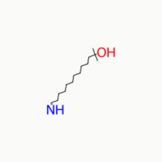 CC(C)(O)CCCCCCCCCCC=N